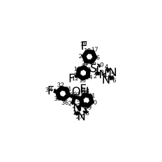 C[Si](Cn1cncn1)(c1ccc(F)cc1)c1ccc(F)cc1.OC(Cn1cncn1)(c1ccc(F)cc1)c1ccccc1F